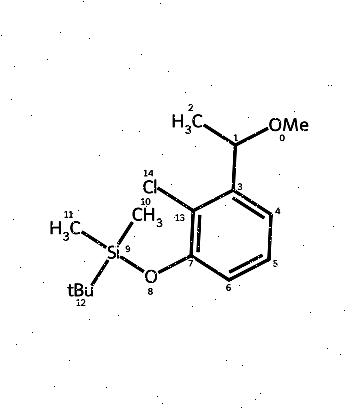 COC(C)c1cccc(O[Si](C)(C)C(C)(C)C)c1Cl